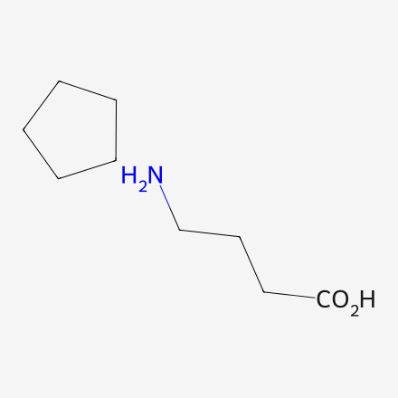 C1CCCC1.NCCCC(=O)O